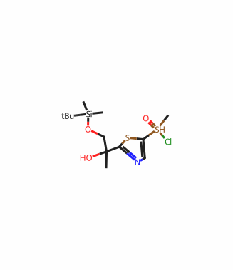 CC(O)(CO[Si](C)(C)C(C)(C)C)c1ncc([SH](C)(=O)Cl)s1